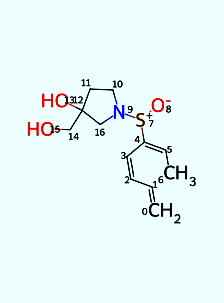 C=C/C=C\C(=C/C)[S+]([O-])N1CCC(O)(CO)C1